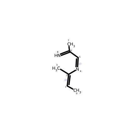 C/C=C(C)\N=C/C(C)=N